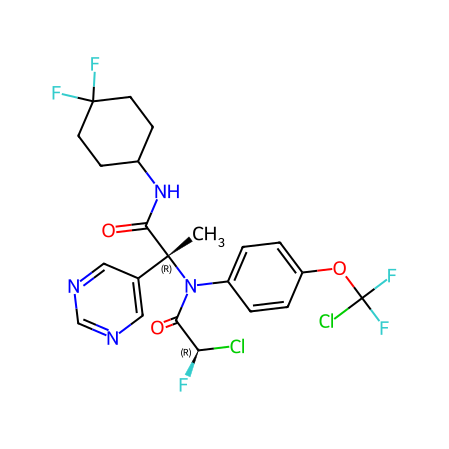 C[C@](C(=O)NC1CCC(F)(F)CC1)(c1cncnc1)N(C(=O)[C@H](F)Cl)c1ccc(OC(F)(F)Cl)cc1